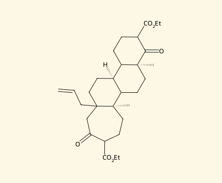 C=CCC12CC[C@H]3C4CCC(C(=O)OCC)C(=O)[C@@]4(C)CCC3[C@@]1(C)CCC(C(=O)OCC)C(=O)C2